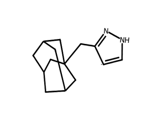 [c]1c[nH]nc1CC12CC3CC(CC(C3)C1)C2